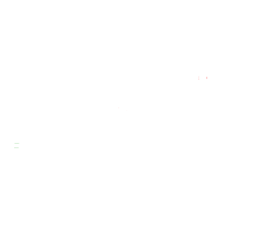 C[C@@H]1CC[C@H](COc2ccc(F)cc2)CO1